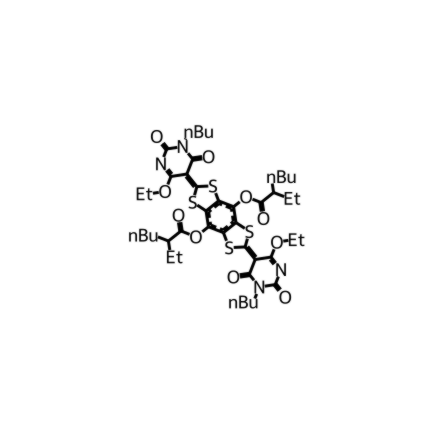 CCCCC(CC)C(=O)Oc1c2c(c(OC(=O)C(CC)CCCC)c3c1SC(=C1C(=O)N(CCCC)C(=O)N=C1OCC)S3)SC(=C1C(=O)N(CCCC)C(=O)N=C1OCC)S2